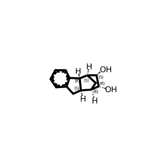 O[C@@H]1[C@H](O)[C@@H]2C[C@H]1[C@@H]1c3ccccc3C[C@H]21